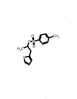 Cc1ccc(S(=O)(=O)OC(C)Cc2cccs2)cc1